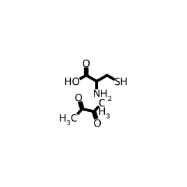 CC(=O)C(C)=O.NC(CS)C(=O)O